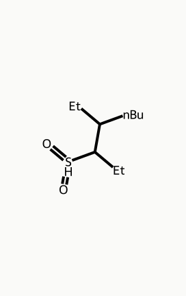 [CH2]CC(C(CC)CCCC)[SH](=O)=O